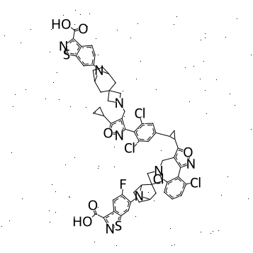 O=C(O)c1nsc2cc(N3C4CCC3CC3(C4)CN(Cc4c(-c5c(Cl)cc(C6CC6c6onc(-c7c(Cl)cccc7Cl)c6CN6CC7(CC8CCC7N8c7cc8snc(C(=O)O)c8cc7F)C6)cc5Cl)noc4C4CC4)C3)ccc12